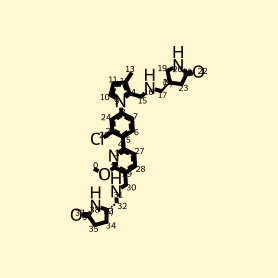 COc1nc(-c2ccc(-n3ccc(C)c3CNC[C@H]3CNC(=O)C3)cc2Cl)ccc1CNC[C@@H]1CCC(=O)N1